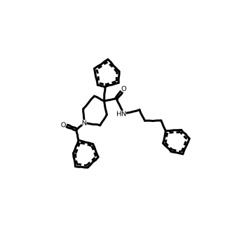 O=C(c1ccccc1)N1CCC(C(=O)NCCCc2ccccc2)(c2ccccc2)CC1